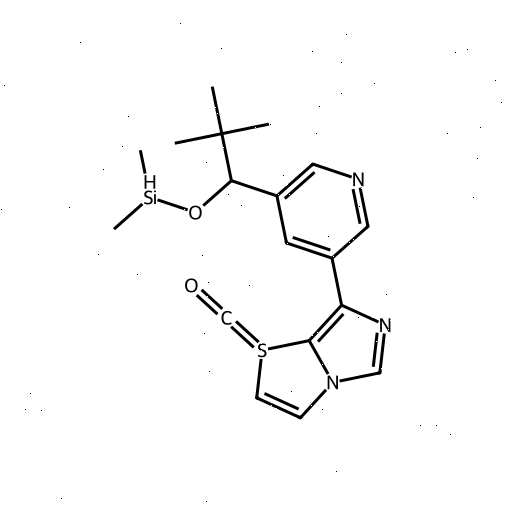 C[SiH](C)OC(c1cncc(-c2ncn3c2S(=C=O)C=C3)c1)C(C)(C)C